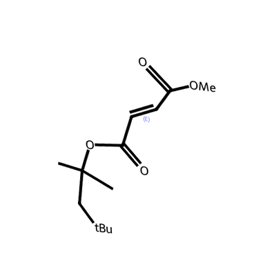 COC(=O)/C=C/C(=O)OC(C)(C)CC(C)(C)C